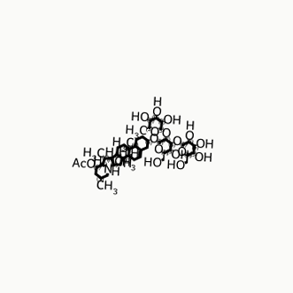 CC(=O)O[C@H]1C[C@H](C)CN2[C@H]1[C@@H](C)[C@H]1[C@@H]2C[C@H]2[C@@H]3CC=C4C[C@@H](O[C@@H]5O[C@H](CO)[C@H](O)[C@H](O[C@@H]6O[C@H](CO)[C@@H](O)[C@H](O)[C@H]6O)[C@H]5O[C@@H]5O[C@@H](C)[C@H](O)[C@@H](O)[C@H]5O)CC[C@]4(C)[C@H]3CC[C@]12C